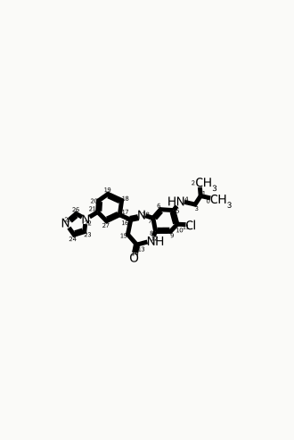 CC(C)CNc1cc2c(cc1Cl)NC(=O)CC(c1cccc(-n3ccnc3)c1)=N2